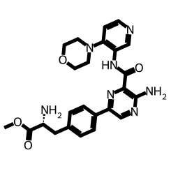 COC(=O)[C@H](N)Cc1ccc(-c2cnc(N)c(C(=O)Nc3cnccc3N3CCOCC3)n2)cc1